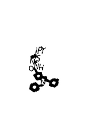 CC(C)c1cnc(NC(=O)c2ccc3c(c2)cc(-c2ccccc2)n3Cc2ccccc2)s1